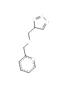 C1=NN=NC1COCc1ccccn1